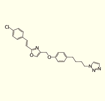 Clc1ccc(C=Cc2nc(COc3ccc(CCCCn4ccnn4)cc3)co2)cc1